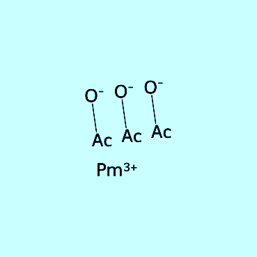 CC(=O)[O-].CC(=O)[O-].CC(=O)[O-].[Pm+3]